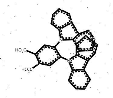 O=C(O)c1cc(-n2c3ccccc3c3ccccc32)c(-n2c3ccccc3c3ccccc32)cc1C(=O)O